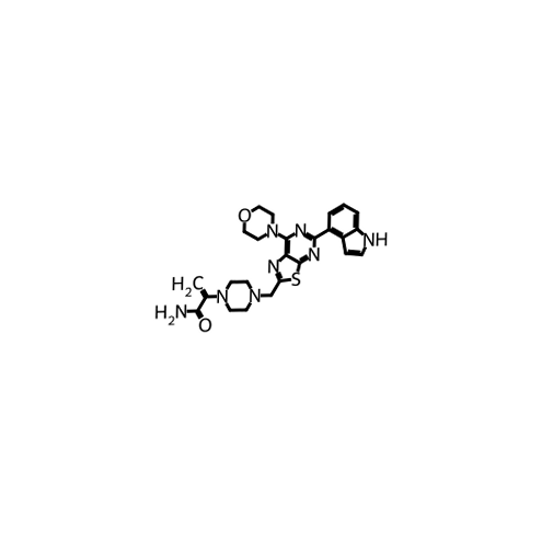 C=C(C(N)=O)N1CCN(Cc2nc3c(N4CCOCC4)nc(-c4cccc5[nH]ccc45)nc3s2)CC1